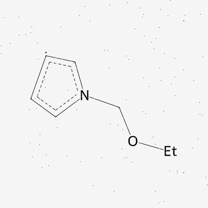 CCOCn1c[c]cc1